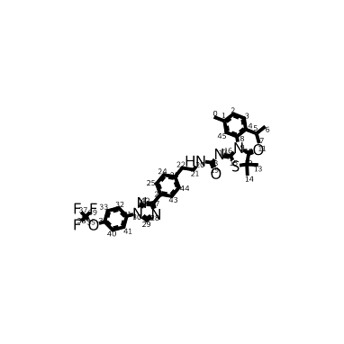 Cc1ccc(C(C)C)c(N2C(=O)C(C)(C)SC2=NC(=O)NCCc2ccc(-c3ncn(-c4ccc(OC(F)(F)F)cc4)n3)cc2)c1